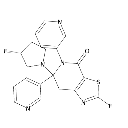 O=C1c2sc(F)nc2CC(c2cccnc2)(N2CC[C@@H](F)C2)N1c1cccnc1